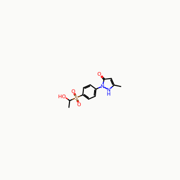 Cc1cc(=O)n(-c2ccc(S(=O)(=O)C(C)O)cc2)[nH]1